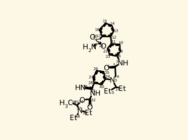 CCC(CC)N(CC(=O)Nc1ccc(-c2ccccc2S(N)(=O)=O)cc1)c1cccc(C(=N)NC(=O)OC(C)N(CC)CC)c1